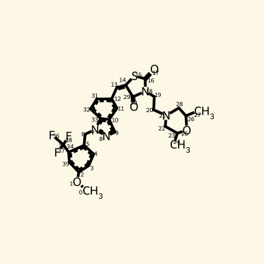 COc1ccc(Cn2ncc3cc(C=C4SC(=O)N(CCN5CC(C)OC(C)C5)C4=O)ccc32)c(C(F)(F)F)c1